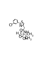 CC(C)C(C)(NC(=O)Cc1csc(-c2cccc(Cl)c2)n1)C(=O)O